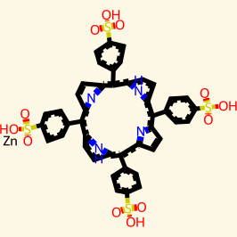 O=S(=O)(O)c1ccc(-c2c3nc(c(-c4ccc(S(=O)(=O)O)cc4)c4ccc([nH]4)c(-c4ccc(S(=O)(=O)O)cc4)c4nc(c(-c5ccc(S(=O)(=O)O)cc5)c5ccc2[nH]5)C=C4)C=C3)cc1.[Zn]